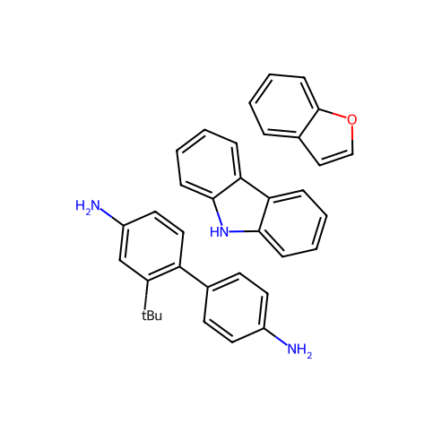 CC(C)(C)c1cc(N)ccc1-c1ccc(N)cc1.c1ccc2c(c1)[nH]c1ccccc12.c1ccc2occc2c1